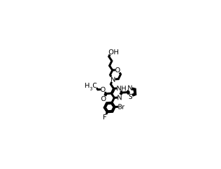 CCOC(=O)C1=C(CN2CCOC(CCCO)C2)NC(c2nccs2)=NC1c1ccc(F)cc1Br